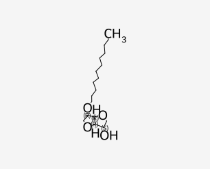 CCCCCCCCCCCCO[C@@H]1CO[C@H]2[C@@H]1OC[C@@H]2O